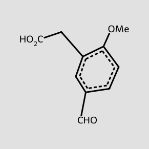 COc1ccc(C=O)cc1CC(=O)O